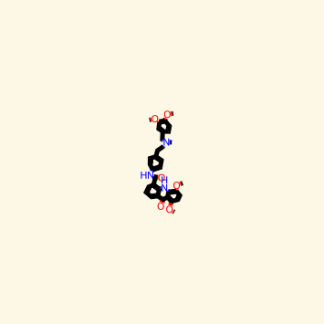 COc1ccc(CN(C)CCc2ccc(NC(=O)c3cccc4c(=O)c5c(OC)ccc(OC)c5[nH]c34)cc2)cc1OC